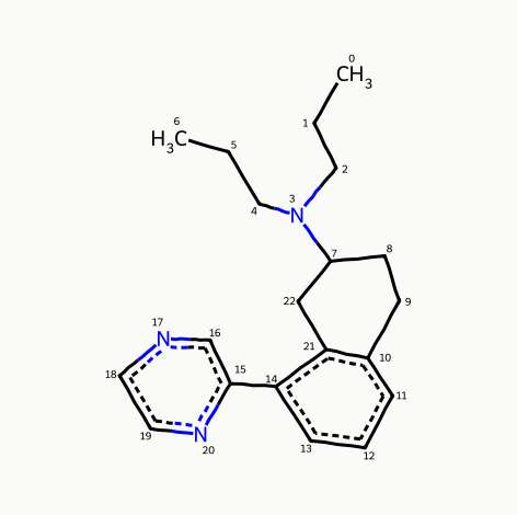 CCCN(CCC)C1CCc2cccc(-c3cnccn3)c2C1